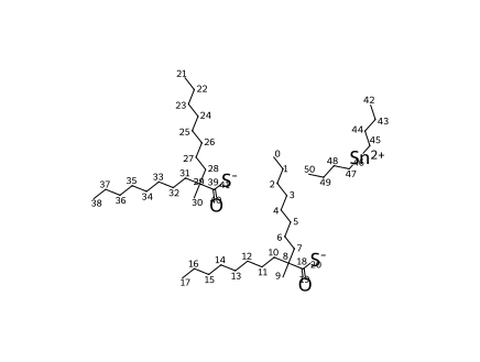 CCCCCCCCC(C)(CCCCCCCC)C(=O)[S-].CCCCCCCCC(C)(CCCCCCCC)C(=O)[S-].CCC[CH2][Sn+2][CH2]CCC